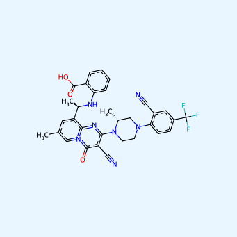 Cc1cc([C@@H](C)Nc2ccccc2C(=O)O)c2nc(N3CCN(c4ccc(C(F)(F)F)cc4C#N)C[C@H]3C)c(C#N)c(=O)n2c1